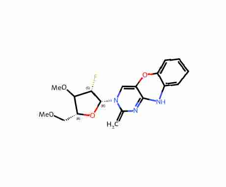 C=C1N=C2Nc3ccccc3OC2=CN1[C@@H]1O[C@H](COC)C(OC)[C@@H]1F